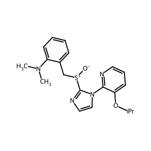 CC(C)Oc1cccnc1-n1ccnc1[S+]([O-])Cc1ccccc1N(C)C